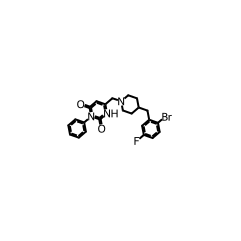 O=c1cc(CN2CCC(Cc3cc(F)ccc3Br)CC2)[nH]c(=O)n1-c1ccccc1